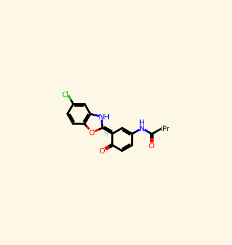 CC(C)C(=O)NC1=C/C(=C2\Nc3cc(Cl)ccc3O2)C(=O)C=C1